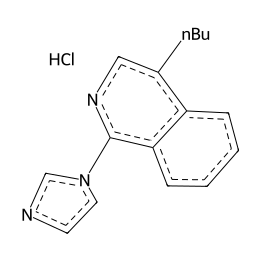 CCCCc1cnc(-n2ccnc2)c2ccccc12.Cl